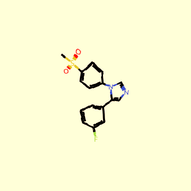 CS(=O)(=O)c1ccc(-n2cncc2-c2cccc(F)c2)cc1